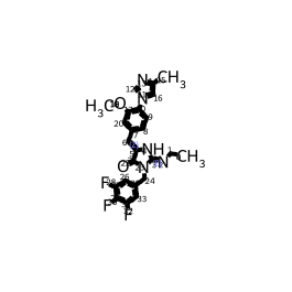 CC/N=C1\N/C(=C\c2ccc(-n3cnc(C)c3)c(OC)c2)C(=O)N1Cc1cc(F)c(F)c(F)c1